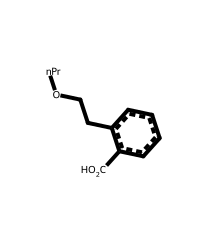 CCCOCCc1ccccc1C(=O)O